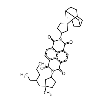 CCCC(CC)C[C@@]1(C)CCC(N2C(=O)c3ccc4c5c(ccc(c35)C2=O)C(=O)N(C2CC[C@H]([C@@]35CC6CCC3CC(C6)C5)C2)C4=O)C1